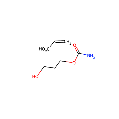 C=CC(=O)O.NC(=O)OCCCO